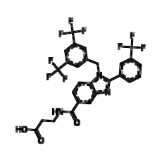 O=C(O)CCNC(=O)c1ccc2c(c1)nc(-c1cccc(C(F)(F)F)c1)n2Cc1cc(C(F)(F)F)cc(C(F)(F)F)c1